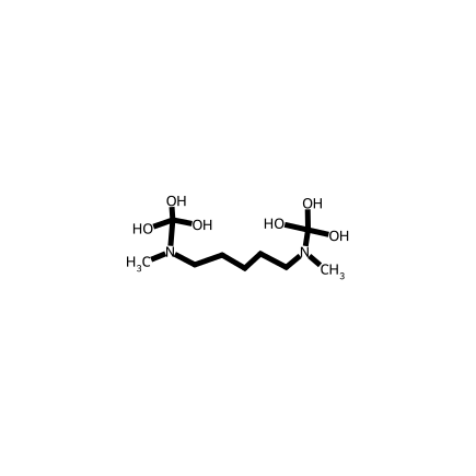 CN(CCCCCN(C)C(O)(O)O)C(O)(O)O